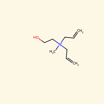 C=CC[N+](C)(CC=C)CCO